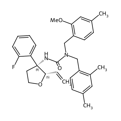 C=C[C@@H]1OCC[C@@]1(NC(=O)N(Cc1ccc(C)cc1C)Cc1ccc(C)cc1OC)c1ccccc1F